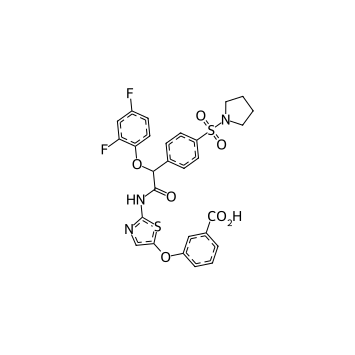 O=C(O)c1cccc(Oc2cnc(NC(=O)C(Oc3ccc(F)cc3F)c3ccc(S(=O)(=O)N4CCCC4)cc3)s2)c1